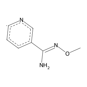 CON=C(N)c1cc[c]nc1